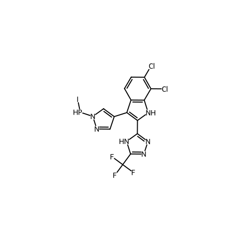 FC(F)(F)c1nnc(-c2[nH]c3c(Cl)c(Cl)ccc3c2-c2cnn(PI)c2)[nH]1